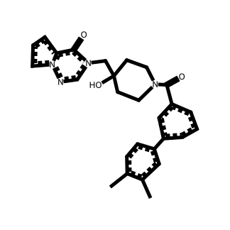 Cc1ccc(-c2cccc(C(=O)N3CCC(O)(Cn4cnn5cccc5c4=O)CC3)c2)cc1C